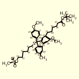 COc1ccc(C(SCCCCCCOS(C)(=O)=O)(c2ccc(C)cc2)c2ccc(OC)c(CCCCCC(=O)OC(C)(C)C)c2)cc1